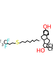 C=C1[C@H](O)CC2C3C(CC[C@]12C)c1ccc(O)cc1C[C@H]3CCCCCCCCCSCCCC(F)(F)C(F)(F)F